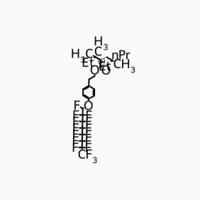 CCCC(C)(CC)C[C@H](C(=O)OCCc1ccc(OC(F)C(F)(F)C(F)(F)C(F)(F)C(F)(F)C(F)(F)C(F)(F)C(F)(F)F)cc1)C(C)(C)CC